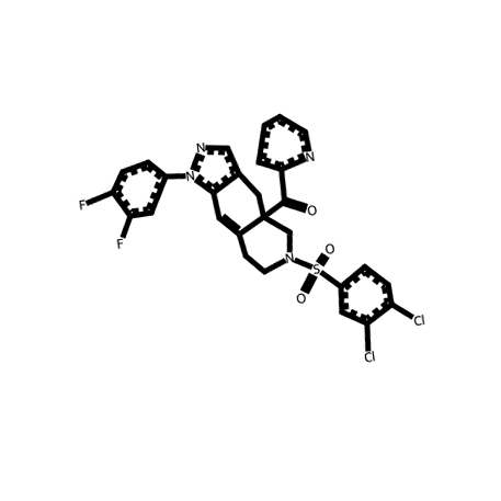 O=C(c1ccccn1)C12Cc3cnn(-c4ccc(F)c(F)c4)c3C=C1CCN(S(=O)(=O)c1ccc(Cl)c(Cl)c1)C2